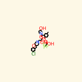 Cc1ccc(OC[C@@H](O)CN2CCC3(CC2)Cc2cc(Cl)ccc2O3)c(C(=O)N2CC[C@H](O)C2)c1.O=C(O)C(F)(F)F